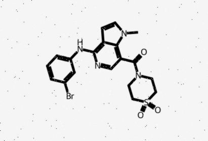 Cn1ccc2c(Nc3cccc(Br)c3)ncc(C(=O)N3CCS(=O)(=O)CC3)c21